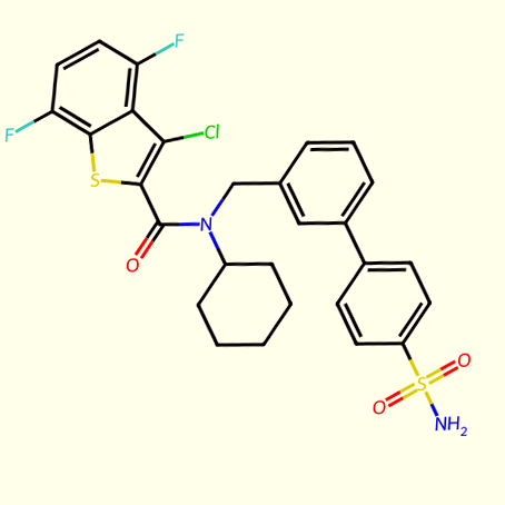 NS(=O)(=O)c1ccc(-c2cccc(CN(C(=O)c3sc4c(F)ccc(F)c4c3Cl)C3CCCCC3)c2)cc1